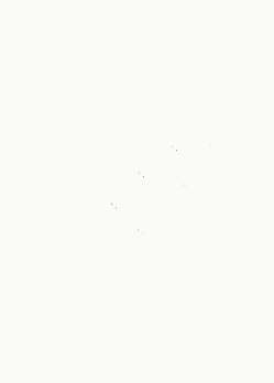 CCOC(=O)Cn1cnc2c(-c3ccco3)nc(N(C)C)nc21